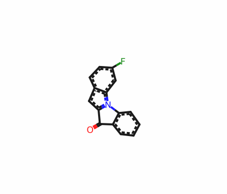 O=C1c2ccccc2-n2c1cc1ccc(F)cc12